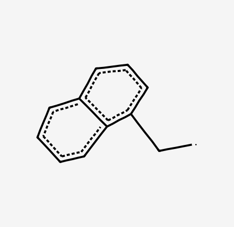 [CH2]Cc1cccc2ccccc12